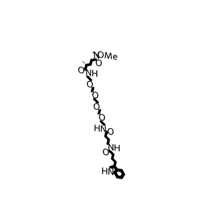 CON(C)C(=O)CC[C@@H](C)C(=O)NCCOCCOCCOCCOCCNC(=O)CCCNC(=O)CCCc1c[nH]c2ccccc12